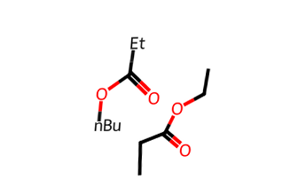 CCCCOC(=O)CC.CCOC(=O)CC